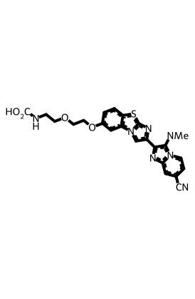 CNc1c(-c2cn3c(n2)sc2ccc(OCCOCCNC(=O)O)cc23)nc2cc(C#N)ccn12